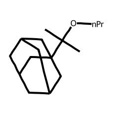 CCCOC(C)(C)C12CC3CC(CC(C3)C1)C2